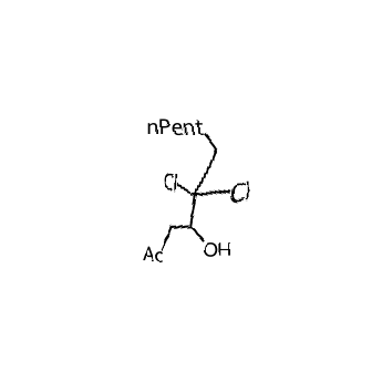 CCCCCCC(Cl)(Cl)C(O)CC(C)=O